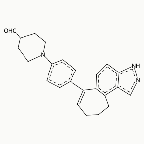 O=CC1CCN(c2ccc(C3=CCCCc4c3ccc3[nH]ncc43)cc2)CC1